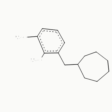 COc1cccc(CC2CCCCCC2)c1OC